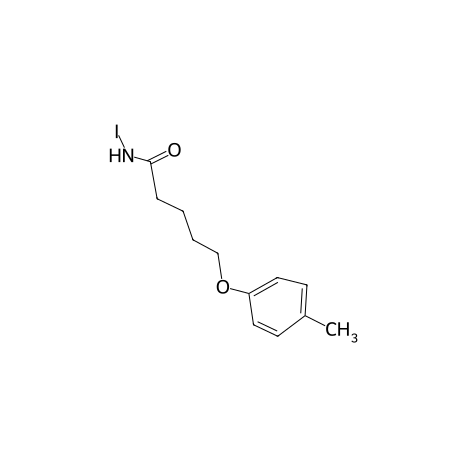 Cc1ccc(OCCCCC(=O)NI)cc1